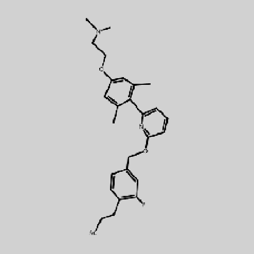 CC(=O)CCc1ccc(COc2cccc(-c3c(C)cc(OCCN(C)C)cc3C)n2)cc1F